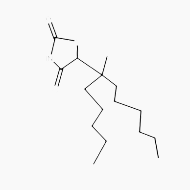 CCCCCCC(C)(CCCCC)C1SC(=O)NC1=O